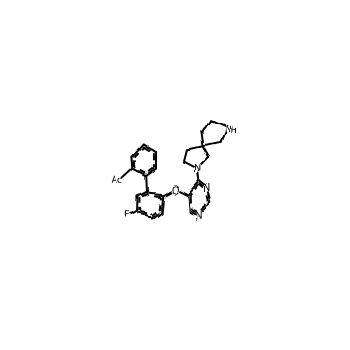 CC(=O)c1ccccc1-c1cc(F)ccc1Oc1cncnc1N1CCC2(CCNC2)C1